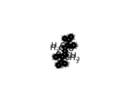 CC1(C)c2cc3c(cc2-c2c1cc(-c1cc4ccccc4c4ccccc14)c1c2oc2ccccc21)C(C)(C)c1cc(-c2cc4ccccc4c4ccccc24)c2c(oc4ccccc42)c1-3